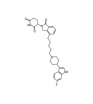 O=C1CCC(N2Cc3c(CCCCCN4CCC(c5c[nH]c6cc(F)ccc56)CC4)cccc3C2=O)C(=O)N1